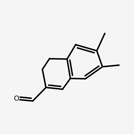 Cc1cc2c(cc1C)CCC(C=O)=C2